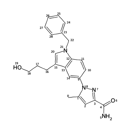 Cc1cc(C(N)=O)nn1-c1ccc2c(c1)c(CCCO)cn2Cc1ccccc1